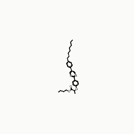 CCCCCCCCc1ccc(-c2cnc(-c3ccc(OC(C)C(=O)OCCCC)cc3)nc2)cc1